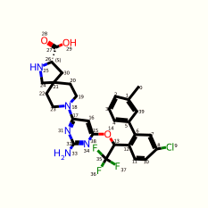 Cc1cccc(-c2cc(Cl)ccc2C(Oc2cc(N3CCC4(CC3)CN[C@H](C(=O)O)C4)nc(N)n2)C(F)(F)F)c1